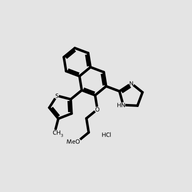 COCCOc1c(C2=NCCN2)cc2ccccc2c1-c1cc(C)cs1.Cl